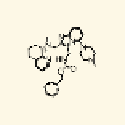 CN1CCN(c2cccc3nc(CN(C)[C@H]4CCCc5cccnc54)c(CNC(=O)OCc4ccccc4)n23)CC1